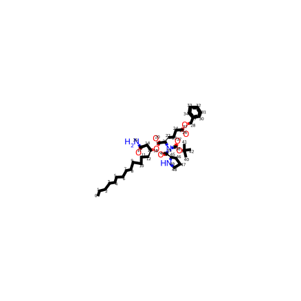 CCCCCCCCCCCCC[C@@H](CC(N)=O)OC(=O)[C@H](CCCC(=O)OCc1ccccc1)N(C(=O)OC(C)(C)C)C(=O)[C@H]1CCCN1